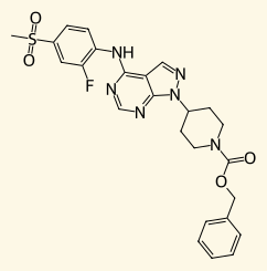 CS(=O)(=O)c1ccc(Nc2ncnc3c2cnn3C2CCN(C(=O)OCc3ccccc3)CC2)c(F)c1